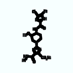 CCOC(=O)c1sc(N2CCC(NC(=O)c3nc(Cl)c(CC)[nH]3)C(OCC)C2)nc1C(=O)NC(C)C